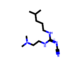 CC(C)CCCN/C(=N/C#N)NCCN(C)C